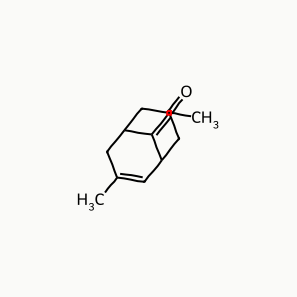 CC=C1C2C=C(C)CC1CC(=O)C2